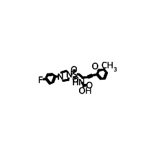 CC1C=CC=C(C#CC(CS(=O)(=O)N2CCN(c3ccc(F)cc3)CC2)NC(=O)O)C1=O